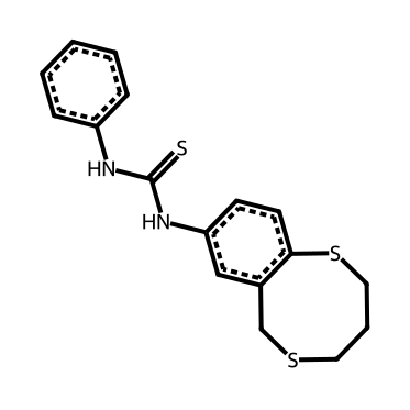 S=C(Nc1ccccc1)Nc1ccc2c(c1)CSCCCS2